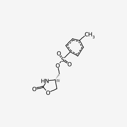 Cc1ccc(S(=O)(=O)OC[C@@H]2COC(=O)N2)cc1